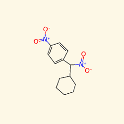 O=[N+]([O-])c1ccc(C(C2CCCCC2)[N+](=O)[O-])cc1